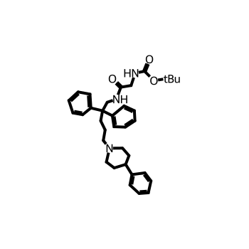 CC(C)(C)OC(=O)NCC(=O)NCC(CCCN1CCC(c2ccccc2)CC1)(c1ccccc1)c1ccccc1